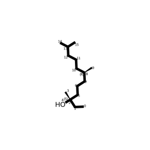 CC[C@](C)(O)CCC[C@H](C)CCCC(C)C